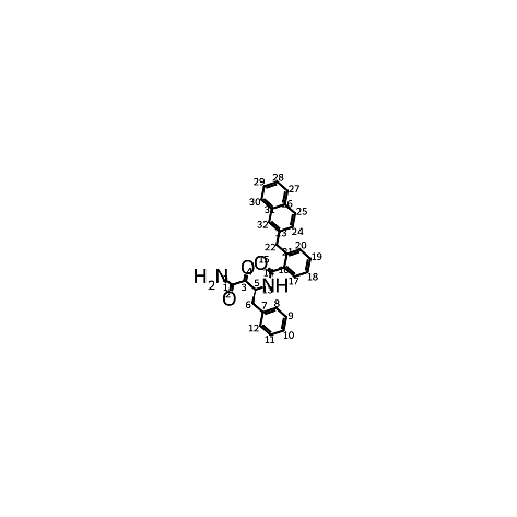 NC(=O)C(=O)[C@H](Cc1ccccc1)NC(=O)c1ccccc1Cc1ccc2ccccc2c1